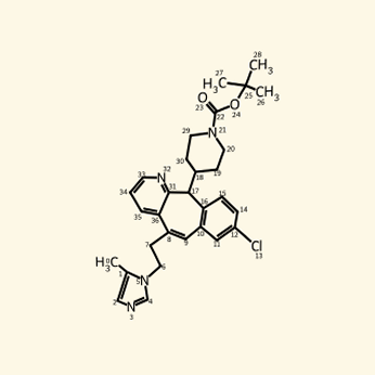 Cc1cncn1CCC1=Cc2cc(Cl)ccc2C(C2CCN(C(=O)OC(C)(C)C)CC2)c2ncccc21